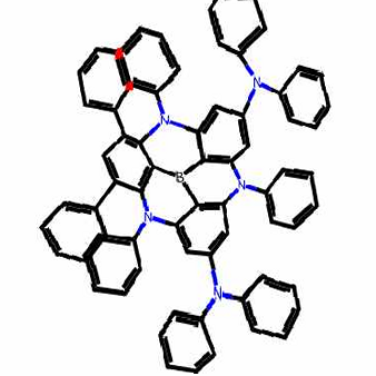 c1ccc(-c2cc(-c3ccccc3)c3c4c2N(c2ccccc2)c2cc(N(c5ccccc5)c5ccccc5)cc5c2B4c2c(cc(N(c4ccccc4)c4ccccc4)cc2N3c2ccccc2)N5c2ccccc2)cc1